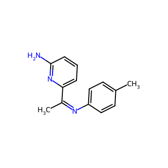 CC(=Nc1ccc(C)cc1)c1cccc(N)n1